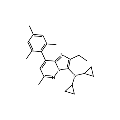 CCc1nc2c(-c3c(C)cc(C)cc3C)cc(C)nn2c1N(C1CC1)C1CC1